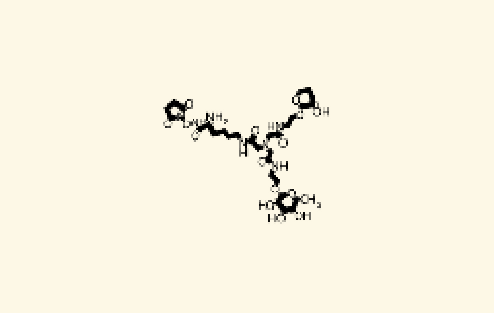 C[C@@H]1O[C@@H](OCCNC(=O)CN(CC(=O)NCCCC[C@H](N)C(=O)NON2C(=O)CCC2=O)CC(=O)NCCO[C@@H]2OCCC[C@@H]2O)[C@@H](O)[C@H](O)[C@@H]1O